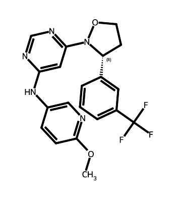 COc1ccc(Nc2cc(N3OCC[C@@H]3c3cccc(C(F)(F)F)c3)ncn2)cn1